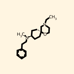 CCN1CCO[C@]2(CC[C@H](N(C)CCc3ccccc3)CC2)C1